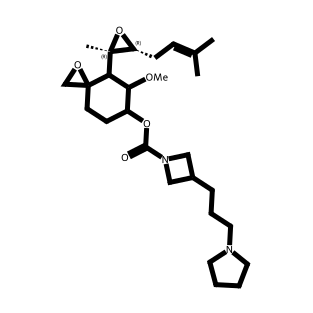 COC1C(OC(=O)N2CC(CCCN3CCCC3)C2)CCC2(CO2)C1[C@@]1(C)O[C@@H]1CC=C(C)C